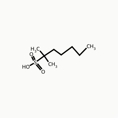 CCCCCC(C)(C)S(=O)(=O)O